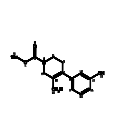 CC(C)(C)OC(=O)N1CCC(c2cccc(O)c2)=C(C(=O)O)C1